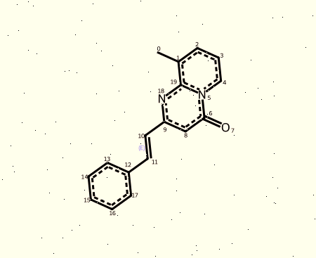 Cc1cccn2c(=O)cc(/C=C/c3ccccc3)nc12